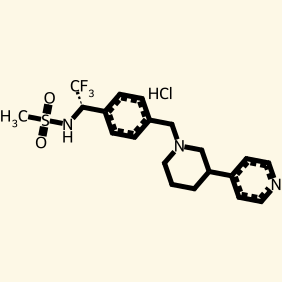 CS(=O)(=O)N[C@@H](c1ccc(CN2CCCC(c3ccncc3)C2)cc1)C(F)(F)F.Cl